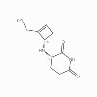 CCCNC1=CC[C@@H]1N[C@@H]1CCC(=O)NC1=O